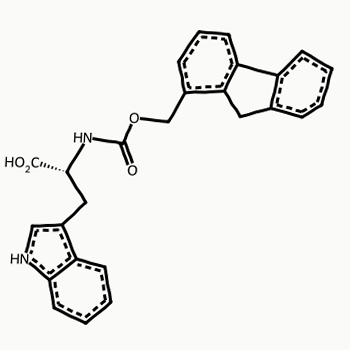 O=C(N[C@H](Cc1c[nH]c2ccccc12)C(=O)O)OCc1cccc2c1Cc1ccccc1-2